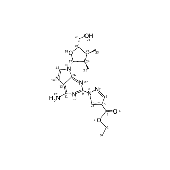 CCOC(=O)c1cnn(-c2nc(N)c3ncn([C@@H]4O[C@H](CO)[C@@H](C)[C@H]4C)c3n2)c1